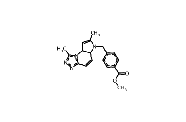 COC(=O)c1ccc(CN2C(C)=CC3C2C=Cc2nnc(C)n23)cc1